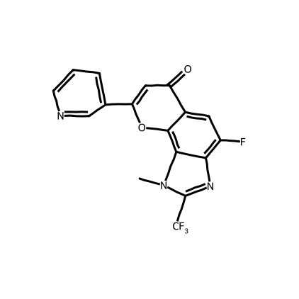 Cn1c(C(F)(F)F)nc2c(F)cc3c(=O)cc(-c4cccnc4)oc3c21